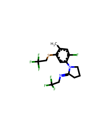 Cc1cc(F)c(N2CCC/C2=N\CC(F)(F)F)cc1SCC(F)(F)F